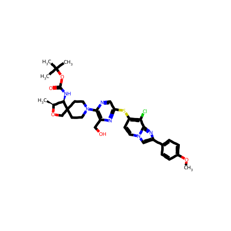 COc1ccc(-c2cn3ccc(Sc4cnc(N5CCC6(CC5)CO[C@@H](C)[C@H]6NC(=O)OC(C)(C)C)c(CO)n4)c(Cl)c3n2)cc1